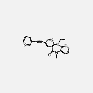 CCN1c2ncc(C#Cc3cccnc3)cc2C(=O)N(C)c2cccnc21